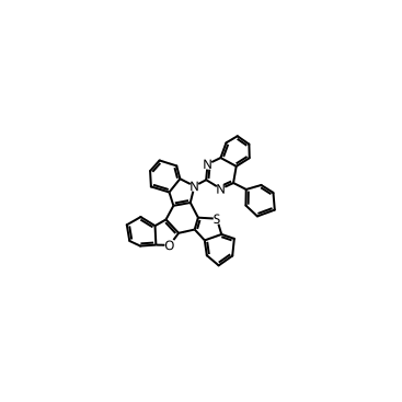 c1ccc(-c2nc(-n3c4ccccc4c4c5c6ccccc6oc5c5c6ccccc6sc5c43)nc3ccccc23)cc1